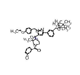 CCOc1ccc(Cn2nc(-c3cccc(CO[Si](C)(C)C(C)(C)C)c3)cc2/C=C2\CCN(C(=O)c3cccc(Cl)c3)CC2(C)C)cc1